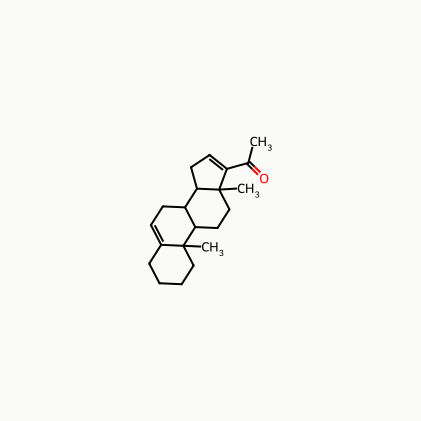 CC(=O)C1=CCC2C3CC=C4CCCCC4(C)C3CCC12C